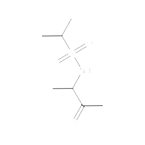 CC(=O)C(C)NS(=O)(=O)C(C)C